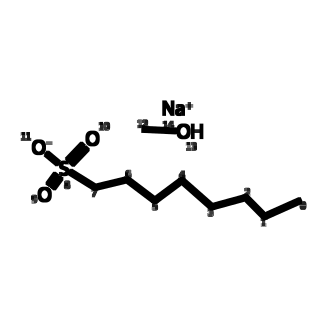 CCCCCCCCS(=O)(=O)[O-].CO.[Na+]